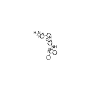 Nc1nccc(-c2cccnc2Oc2ccc(Nc3nnc(C4CCCCC4)c4ccccc34)cn2)n1